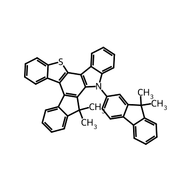 CC1(C)c2ccccc2-c2ccc(-n3c4ccccc4c4c5sc6ccccc6c5c5c(c43)C(C)(C)c3ccccc3-5)cc21